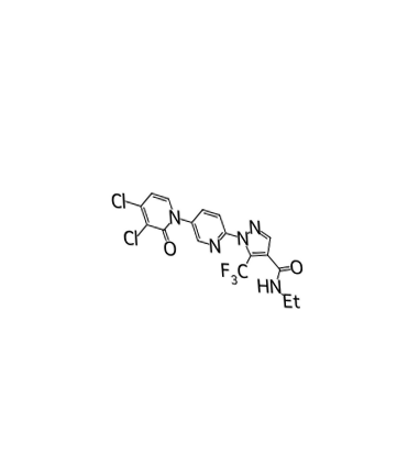 CCNC(=O)c1cnn(-c2ccc(-n3ccc(Cl)c(Cl)c3=O)cn2)c1C(F)(F)F